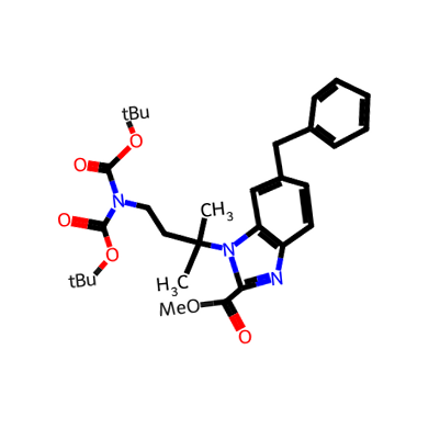 COC(=O)c1nc2ccc(Cc3ccccc3)cc2n1C(C)(C)CCN(C(=O)OC(C)(C)C)C(=O)OC(C)(C)C